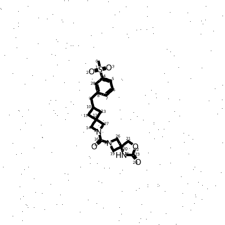 CS(=O)(=O)c1cccc(CC2CC3(C2)CN(C(=O)N2CC4(COC(=O)N4)C2)C3)c1